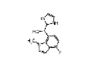 Cn1ccc2c(F)ccc(C(O)C3NC=CN3)c21